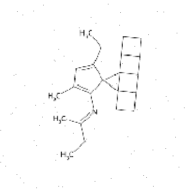 CCC1=CC(C)=C(/N=C(\C)CC)C12C13CCC1C1C4CCC4C123